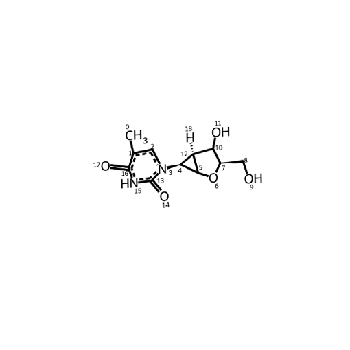 Cc1cn([C@@H]2C3O[C@H](CO)C(O)[C@@H]32)c(=O)[nH]c1=O